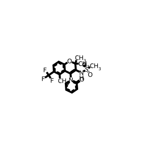 Cc1c(C(F)(F)F)ccc2c1C(n1ccccc1=O)=C(NS(C)(=O)=O)C(C)(C)O2